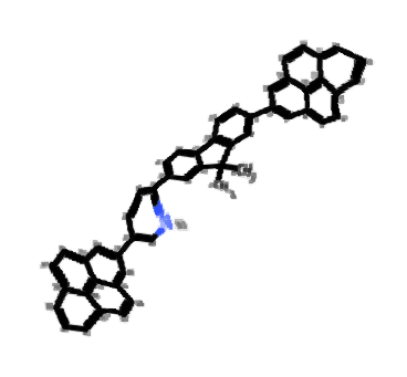 CC1(C)c2cc(-c3cc4ccc5cccc6ccc(c3)c4c56)ccc2-c2ccc(-c3ccc(-c4cc5ccc6cccc7ccc(c4)c5c67)cn3)cc21